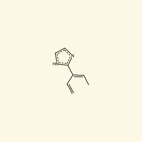 C=CC(=CC)c1ncc[nH]1